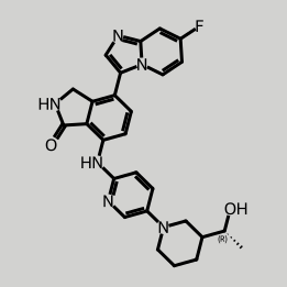 C[C@@H](O)C1CCCN(c2ccc(Nc3ccc(-c4cnc5cc(F)ccn45)c4c3C(=O)NC4)nc2)C1